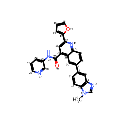 Cn1cnc2cc(-c3ccc4nc(-c5ccco5)cc(C(=O)Nc5cccnc5)c4c3)ccc21